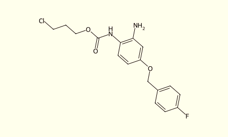 Nc1cc(OCc2ccc(F)cc2)ccc1NC(=O)OCCCCl